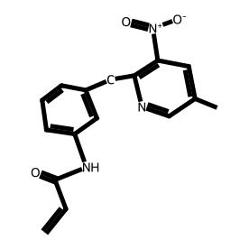 C=CC(=O)Nc1cccc(Cc2ncc(C)cc2[N+](=O)[O-])c1